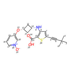 CC(C)(C)C#Cc1cc(N[C@H]2C[C@@H](Oc3ccc[n+]([O-])c3)C2)c(C(=O)O)s1